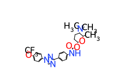 C[C@H]1O[C@H](OC(=O)Nc2ccc(-c3ncn(-c4ccc(OC(F)(F)F)cc4)n3)cc2)CC[C@@H]1N(C)C